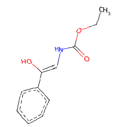 CCOC(=O)NC=C(O)c1ccccc1